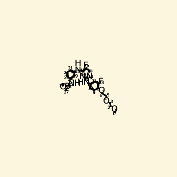 COCCOCCOc1ccc(Nc2ncc(F)c(Nc3cccc(NB4CO4)c3)n2)cc1F